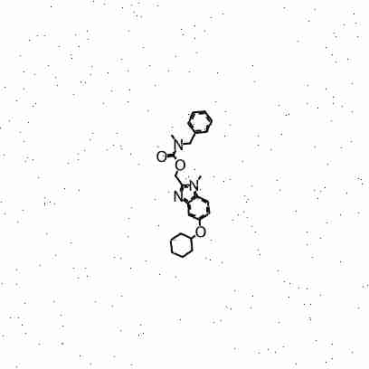 CN(Cc1ccccc1)C(=O)OCc1nc2cc(OC3CCCCC3)ccc2n1C